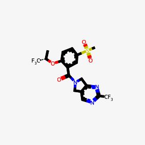 C[C@H](Oc1ccc(S(C)(=O)=O)cc1C(=O)N1Cc2cnc(C(F)(F)F)nc2C1)C(F)(F)F